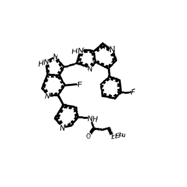 CC(C)(C)CC(=O)Nc1cncc(-c2ncc3[nH]nc(-c4nc5c(-c6cccc(F)c6)cncc5[nH]4)c3c2F)c1